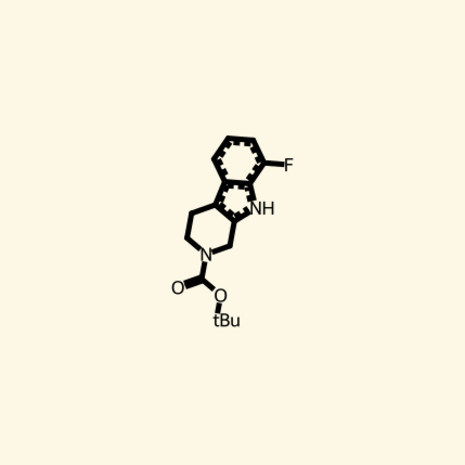 CC(C)(C)OC(=O)N1CCc2c([nH]c3c(F)cccc23)C1